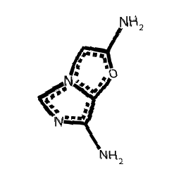 Nc1cn2cnc(N)c2o1